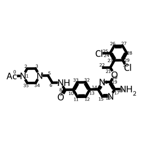 CC(=O)N1CCN(CCNC(=O)c2ccc(-c3cnc(N)c(OC(C)c4c(Cl)cccc4Cl)n3)cc2)CC1